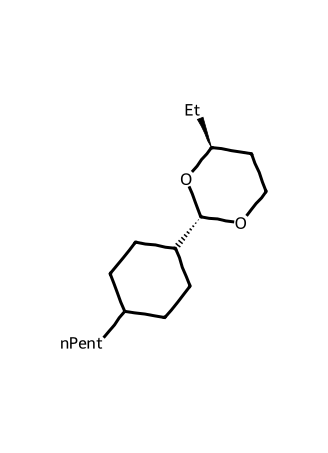 CCCCCC1CCC([C@H]2OCC[C@H](CC)O2)CC1